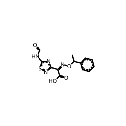 CC(ON=C(C(=O)O)c1nsc(NC=O)n1)c1ccccc1